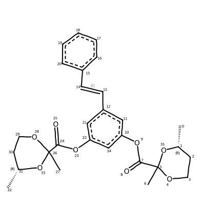 C[C@@H]1CCOC(C)(C(=O)Oc2cc(/C=C/c3cc[c]cc3)cc(OC(=O)C3(C)OCC[C@@H](C)O3)c2)O1